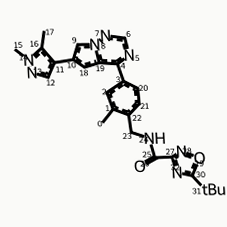 Cc1cc(-c2ncnn3cc(-c4cnn(C)c4C)cc23)ccc1CNC(=O)c1noc(C(C)(C)C)n1